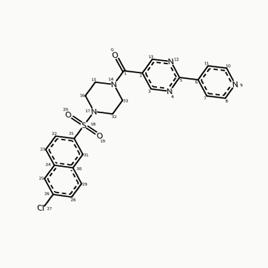 O=C(c1cnc(-c2ccncc2)nc1)N1CCN(S(=O)(=O)c2ccc3cc(Cl)ccc3c2)CC1